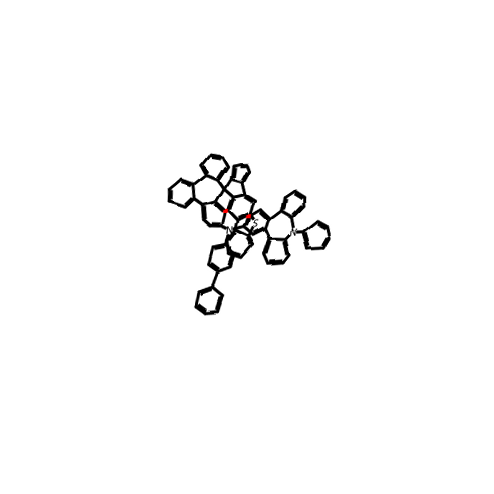 c1ccc(-c2ccc(N(c3ccc4c(c3)-c3ccccc3N(c3ccccc3)c3ccccc3-4)c3ccc4c(c3)C3(c5ccccc5-c5ccccc5-4)c4ccccc4-c4cc5sc6ccccc6c5cc43)cc2)cc1